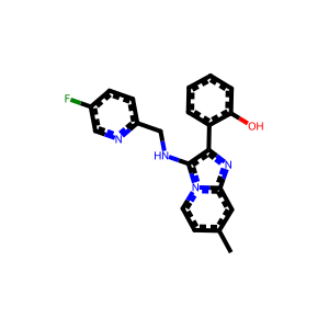 Cc1ccn2c(NCc3ccc(F)cn3)c(-c3ccccc3O)nc2c1